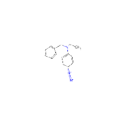 CCN(Cc1ccccc1)C1=CCC(=[N+]=[N-])C=C1